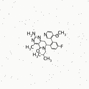 COc1ccncc1-c1cc(F)ccc1C1Cc2nc(N)nc(C)c2C(=O)N1CC(C)C